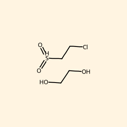 O=[SH](=O)CCCl.OCCO